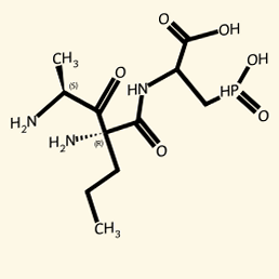 CCC[C@](N)(C(=O)NC(C[PH](=O)O)C(=O)O)C(=O)[C@H](C)N